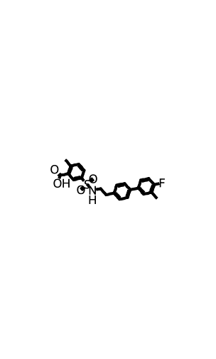 Cc1cc(-c2ccc(CCNS(=O)(=O)c3ccc(C)c(C(=O)O)c3)cc2)ccc1F